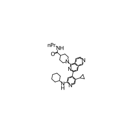 CCCNC(=O)C1CCN(c2nc(-c3cc(NC4CCCCC4)ncc3C3CC3)cc3cnccc23)CC1